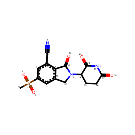 CS(=O)(=O)c1cc(C#N)c2c(c1)CN(C1CCC(=O)NC1=O)C2=O